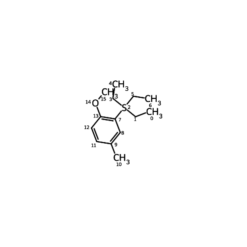 CCS(CC)(CC)c1cc(C)ccc1OC